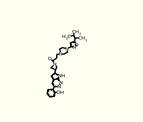 CC(C)C(C)c1cc(N2CCN(CCC(=O)N3CC(c4cc5cc(-c6ccccc6O)nnc5[nH]4)C3)CC2)no1